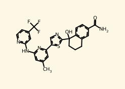 Cc1cc(Nc2cc(C(F)(F)F)ccn2)nc(-c2cnc(C3(O)CCCc4cc(C(N)=O)ccc43)s2)c1